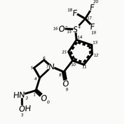 O=C(NO)C1CCN1C(=O)c1cccc([S+]([O-])C(F)(F)F)c1